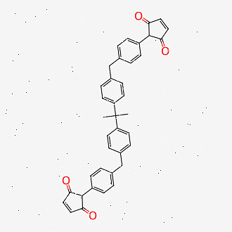 CC(C)(c1ccc(Cc2ccc(C3C(=O)C=CC3=O)cc2)cc1)c1ccc(Cc2ccc(C3C(=O)C=CC3=O)cc2)cc1